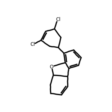 ClC1=CC(Cl)CC(c2cccc3c2OC2CCC=CC32)C1